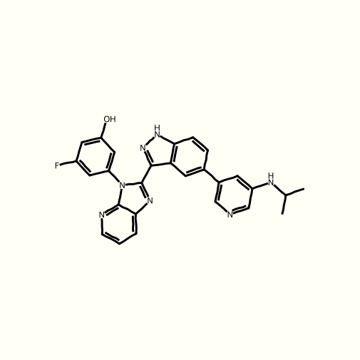 CC(C)Nc1cncc(-c2ccc3[nH]nc(-c4nc5cccnc5n4-c4cc(O)cc(F)c4)c3c2)c1